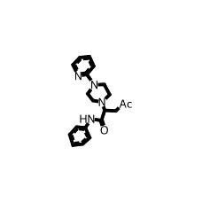 CC(=O)CC(C(=O)Nc1ccccc1)N1CCN(c2ccccn2)CC1